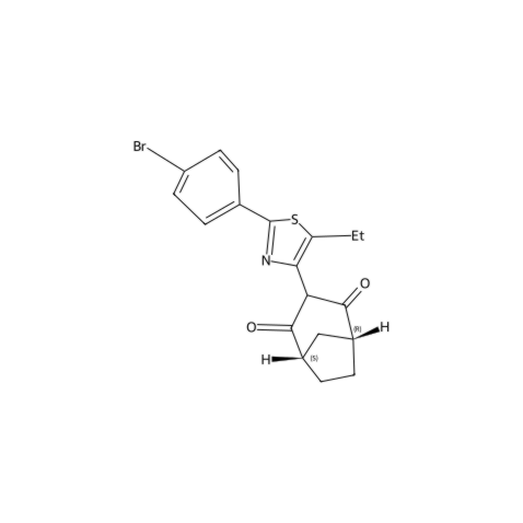 CCc1sc(-c2ccc(Br)cc2)nc1C1C(=O)[C@@H]2CC[C@@H](C2)C1=O